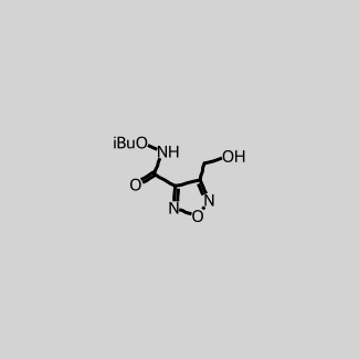 CC(C)CONC(=O)c1nonc1CO